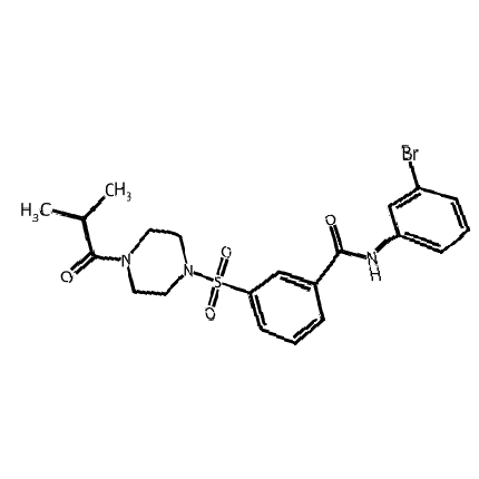 CC(C)C(=O)N1CCN(S(=O)(=O)c2cccc(C(=O)Nc3cccc(Br)c3)c2)CC1